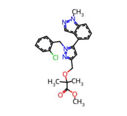 COC(=O)C(C)(C)OCc1cc(-c2cccc3c2cnn3C)n(Cc2ccccc2Cl)n1